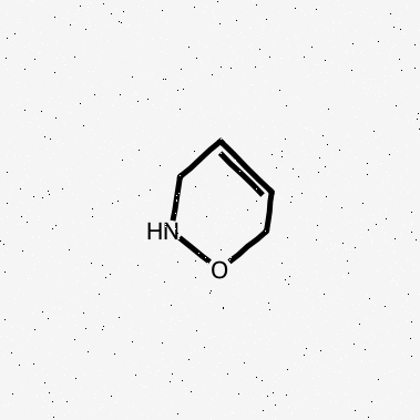 C1=CCONC1